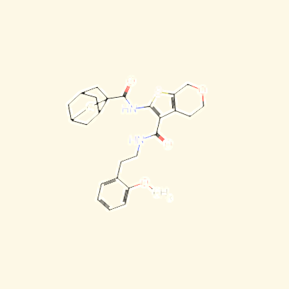 COc1ccccc1CCNC(=O)c1c(NC(=O)C23CC4CC(CC2C4)C3)sc2c1CCOC2